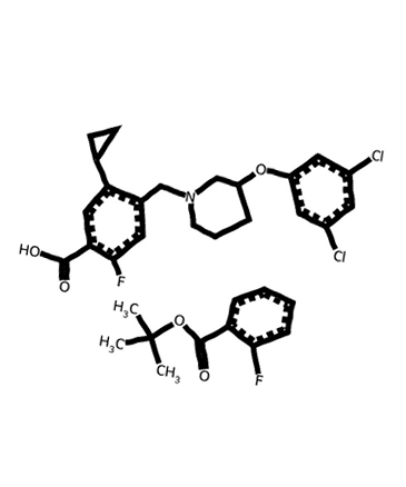 CC(C)(C)OC(=O)c1ccccc1F.O=C(O)c1cc(C2CC2)c(CN2CCCC(Oc3cc(Cl)cc(Cl)c3)C2)cc1F